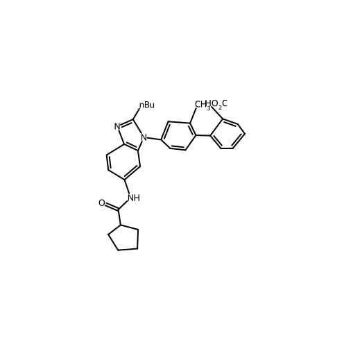 CCCCc1nc2ccc(NC(=O)C3CCCC3)cc2n1-c1ccc(-c2ccccc2C(=O)O)c(C)c1